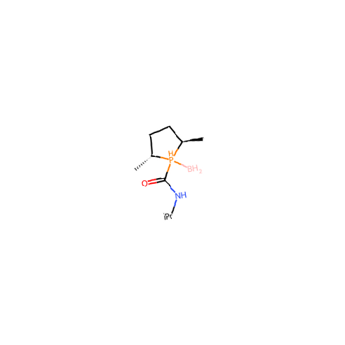 B[PH]1(C(=O)NC(C)C)[C@H](C)CC[C@H]1C